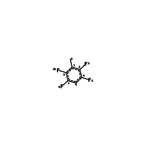 Cc1c(F)c(F)cc(F)c1F